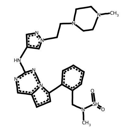 CN1CCN(CCn2cc(Nc3ncc4ccc(-c5ccccc5CN(C)[SH](=O)=O)n4n3)cn2)CC1